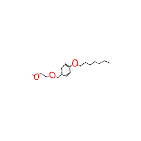 CCCCCCCOc1ccc(COCCOC)cc1